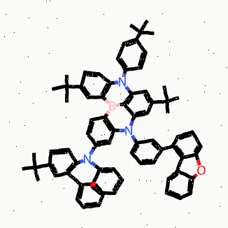 CC(C)(C)c1ccc(N2c3ccc(C(C)(C)C)cc3B3c4ccc(N(c5ccccc5)c5ccc(C(C)(C)C)cc5-c5ccccc5)cc4N(c4cccc(-c5cccc6oc7ccccc7c56)c4)c4cc(C(C)(C)C)cc2c43)cc1